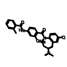 COc1cc(NC(=O)c2ccccc2C)ccc1C(=O)N1CCC(N(C)C)Cc2cc(Cl)ccc21